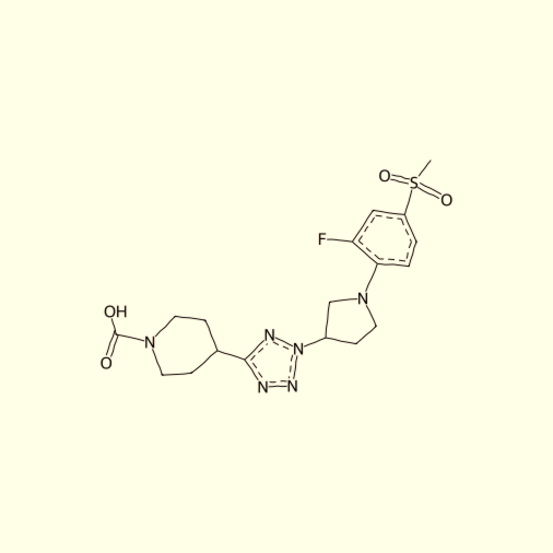 CS(=O)(=O)c1ccc(N2CCC(n3nnc(C4CCN(C(=O)O)CC4)n3)C2)c(F)c1